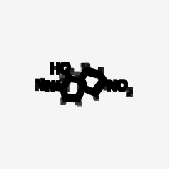 [N-]=[N+]=C1C=Cc2cc([N+](=O)[O-])ccc2C1O